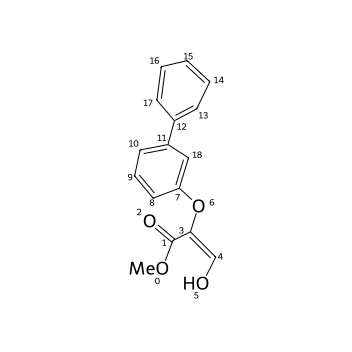 COC(=O)C(=CO)Oc1cccc(-c2ccccc2)c1